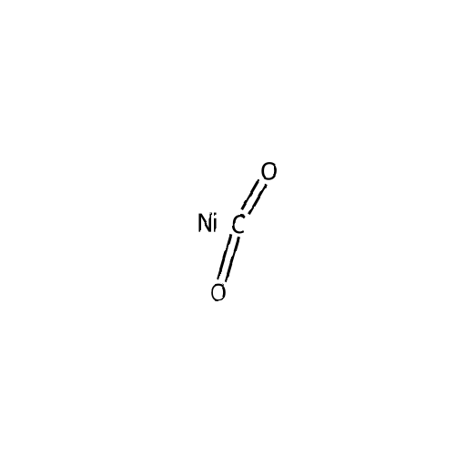 O=C=O.[Ni]